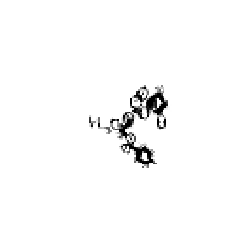 CC(COC(=O)ON1C(=O)CCC1=O)COC(=O)C1CCCCC1